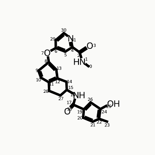 CNC(=O)c1cc(Oc2ccc3c(c2)CC(NC(=O)c2ccc(C)c(O)c2)CC3)ccn1